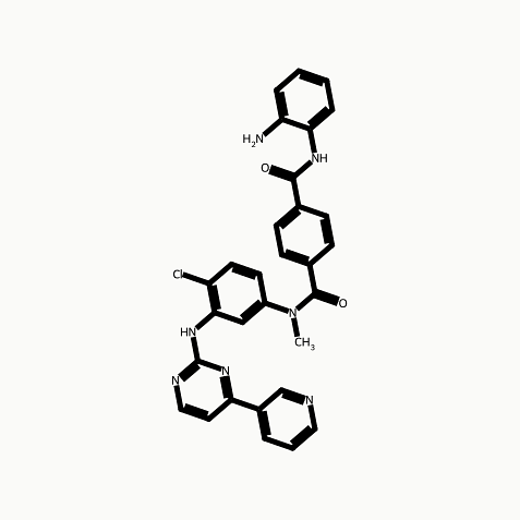 CN(C(=O)c1ccc(C(=O)Nc2ccccc2N)cc1)c1ccc(Cl)c(Nc2nccc(-c3cccnc3)n2)c1